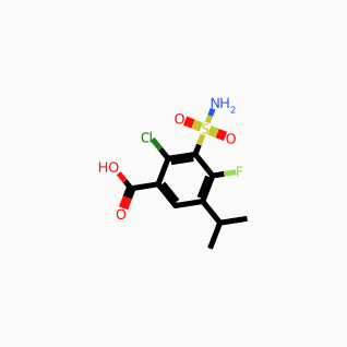 CC(C)c1cc(C(=O)O)c(Cl)c(S(N)(=O)=O)c1F